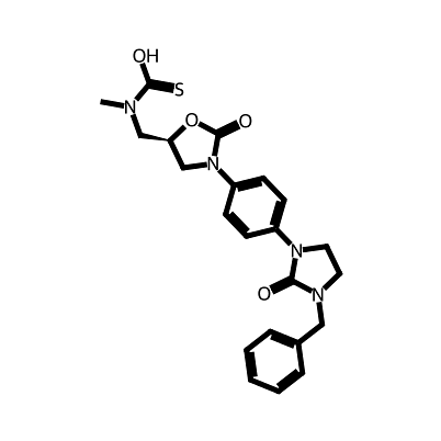 CN(C[C@@H]1CN(c2ccc(N3CCN(Cc4ccccc4)C3=O)cc2)C(=O)O1)C(O)=S